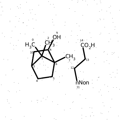 CC1(C)C2CCC1(C)C(O)C2.CCCCCCCCCCCC(=O)O